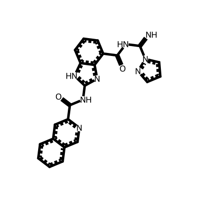 N=C(NC(=O)c1cccc2[nH]c(NC(=O)c3cc4ccccc4cn3)nc12)n1cccn1